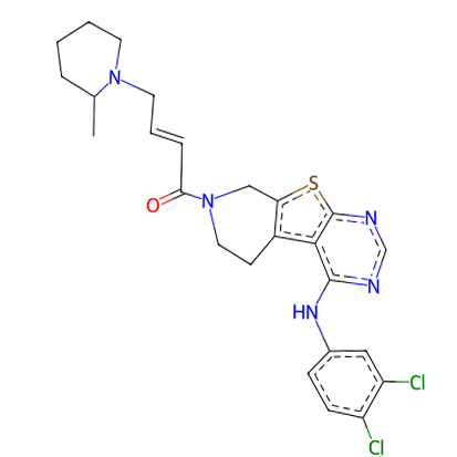 CC1CCCCN1C/C=C/C(=O)N1CCc2c(sc3ncnc(Nc4ccc(Cl)c(Cl)c4)c23)C1